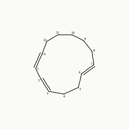 [C]1=C/C=C\CC/C=C/CCCCC/1